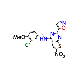 COc1ccc(CNc2nc(-c3ccno3)nc3sc([N+](=O)[O-])cc23)cc1Cl